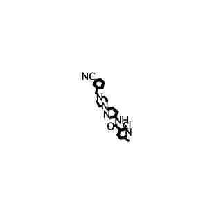 Cc1ccc(C(=O)Nc2ccc(N3CCN(Cc4cccc(C#N)c4)CC3)nc2)c(Cl)n1